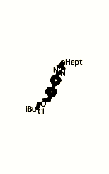 CCCCCCCc1cnc(-c2ccc(-c3ccc(CCOCC(Cl)C(C)CC)cc3)cc2)nc1